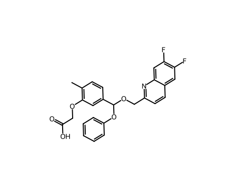 Cc1ccc(C(OCc2ccc3cc(F)c(F)cc3n2)Oc2ccccc2)cc1OCC(=O)O